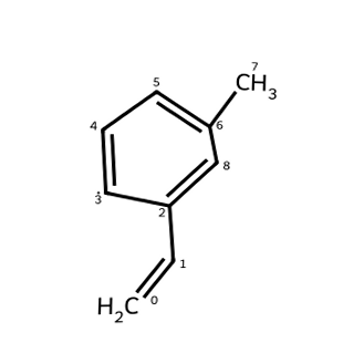 C=Cc1[c]ccc(C)c1